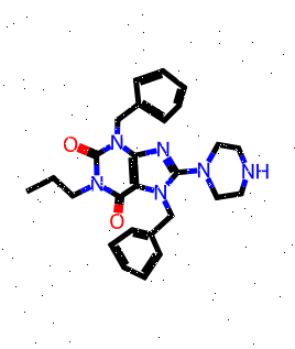 CCCn1c(=O)c2c(nc(N3CCNCC3)n2Cc2ccccc2)n(Cc2ccccc2)c1=O